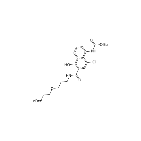 CCCCCCCCCCCCOCCCNC(=O)c1cc(Cl)c2c(NC(=O)OCC(C)C)cccc2c1O